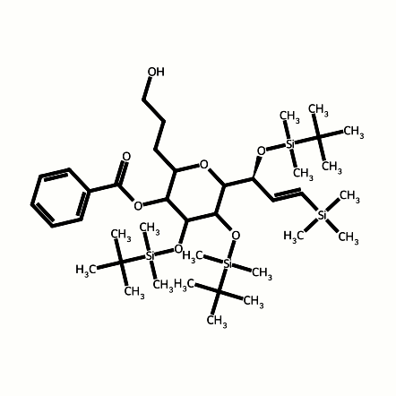 CC(C)(C)[Si](C)(C)OC1C(OC(=O)c2ccccc2)C(CCCO)OC([C@H](C=C[Si](C)(C)C)O[Si](C)(C)C(C)(C)C)C1O[Si](C)(C)C(C)(C)C